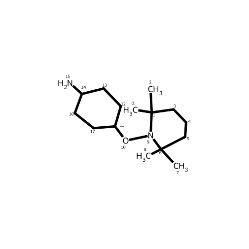 CC1(C)CCCC(C)(C)N1OC1CCC(N)CC1